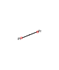 CC(C)OCCCCCCCCC=CCCCCCCCCOC(C)C